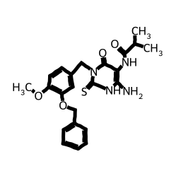 COc1ccc(Cn2c(=S)[nH]c(N)c(NC(=O)C(C)C)c2=O)cc1OCc1ccccc1